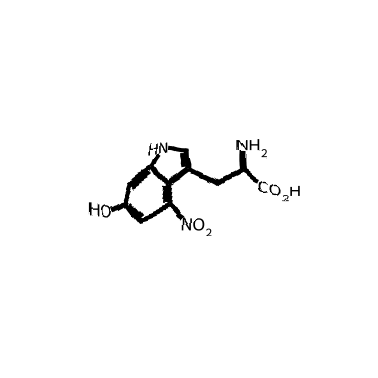 NC(Cc1c[nH]c2cc(O)cc([N+](=O)[O-])c12)C(=O)O